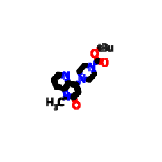 Cn1c(=O)cc(N2CCN(C(=O)OC(C)(C)C)CC2)c2ncccc21